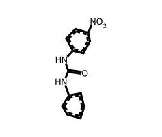 O=C(Nc1ccccc1)Nc1ccc([N+](=O)[O-])cc1